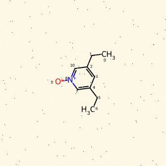 CCc1cc(CC)c[n+]([O-])c1